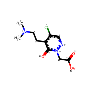 CN(C)CCc1c(Cl)cnn(CC(=O)O)c1=O